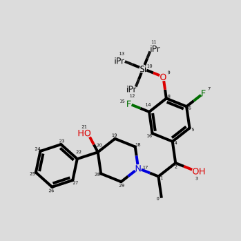 CC(C(O)c1cc(F)c(O[Si](C(C)C)(C(C)C)C(C)C)c(F)c1)N1CCC(O)(c2ccccc2)CC1